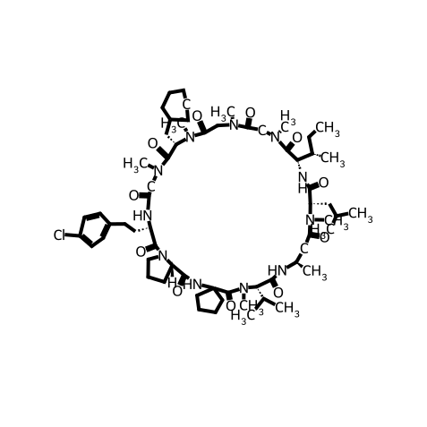 CC[C@H](C)[C@@H]1NC(=O)[C@H](CC(C)C)N(C)C(=O)C[C@@H](C)NC(=O)[C@H](C(C)C)N(C)C(=O)C2(CCCC2)NC(=O)[C@@H]2CCCN2C(=O)[C@H](CCc2ccc(Cl)cc2)NC(=O)CN(C)C(=O)[C@H](CC2CCCCC2)N(C)C(=O)CN(C)C(=O)CN(C)C1=O